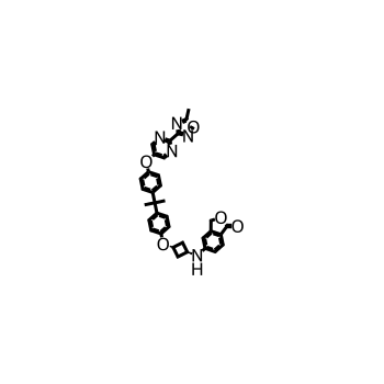 Cc1nc(-c2ncc(Oc3ccc(C(C)(C)c4ccc(O[C@H]5C[C@H](Nc6ccc7c(c6)COC7=O)C5)cc4)cc3)cn2)no1